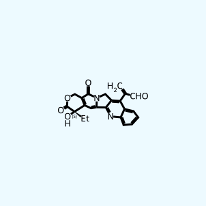 C=C(C=O)c1c2c(nc3ccccc13)-c1cc3c(c(=O)n1C2)COC(=O)[C@]3(O)CC